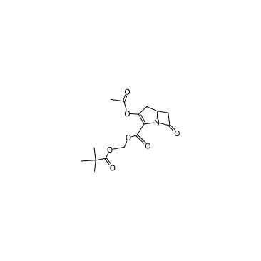 CC(=O)OC1=C(C(=O)OCOC(=O)C(C)(C)C)N2C(=O)CC2C1